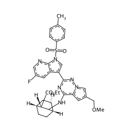 CCOC(=O)[C@H]1[C@H]2CC[C@H](CC2)[C@@H]1Nc1nc(-c2cn(S(=O)(=O)c3ccc(C)cc3)c3ncc(F)cc23)nn2cc(COC)cc12